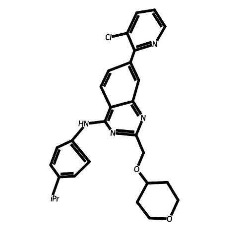 CC(C)c1ccc(Nc2nc(COC3CCOCC3)nc3cc(-c4ncccc4Cl)ccc23)cc1